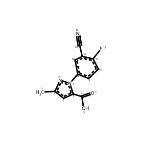 Cc1cc(C(=O)O)n(-c2ccc(F)c(C#N)c2)n1